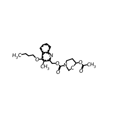 CCCCOc1c(C)c(COC(=O)N2CCC(OC(C)=O)CC2)nc2ccccc12